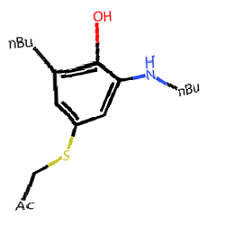 CCCCNc1cc(SCC(C)=O)cc(CCCC)c1O